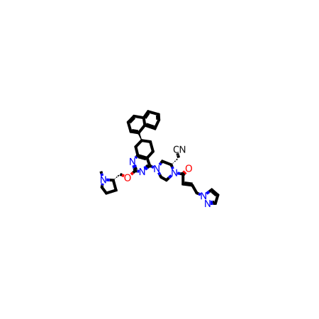 CN1CCC[C@H]1COc1nc2c(c(N3CCN(C(=O)/C=C/Cn4cccn4)[C@@H](CC#N)C3)n1)CC[C@H](c1cccc3ccccc13)C2